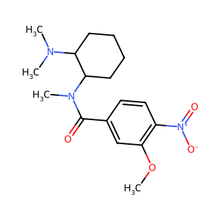 COc1cc(C(=O)N(C)C2CCCCC2N(C)C)ccc1[N+](=O)[O-]